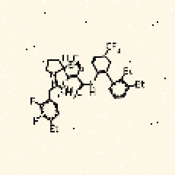 C=C/C(C(=C)NC1=C(c2cccc(CC)c2CC)CC(C(F)(F)F)C=C1)=C(/C)C1(C)CCCN1N(C)Cc1ccc(CC)c(F)c1F